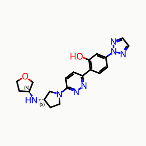 Oc1cc(-n2nccn2)ccc1-c1ccc(N2CC[C@H](N[C@H]3CCOC3)C2)nn1